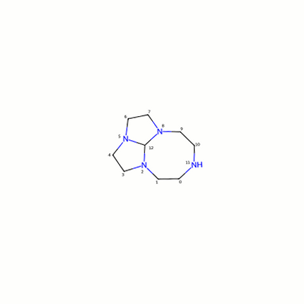 C1CN2CCN3CCN(CCN1)C23